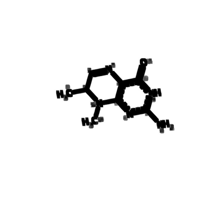 CC1C=Nc2c(nc(N)[nH]c2=O)N1C